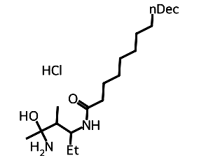 CCCCCCCCCCCCCCCCCC(=O)NC(CC)C(C)C(C)(N)O.Cl